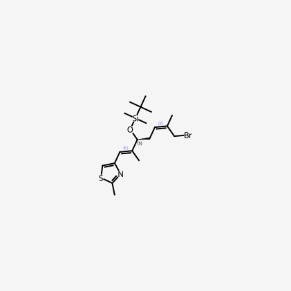 C/C(=C/C[C@H](O[Si](C)(C)C(C)(C)C)/C(C)=C/c1csc(C)n1)CBr